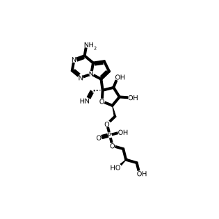 N=C[C@@]1(c2ccc3c(N)ncnn23)O[C@H](COP(=O)(O)OC[C@H](O)CO)C(O)C1O